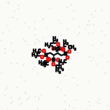 CO[Si](CC(C(C[Si](OC)(OC)OC)[Si](OC)(OC)OC)[Si](OC)(OC)OC)(OC)OC